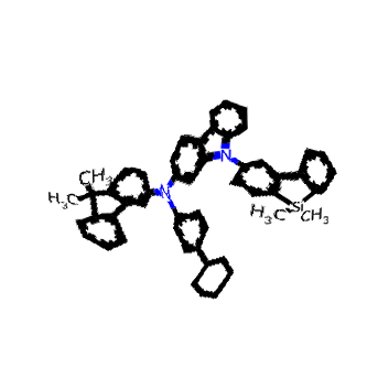 CC1(C)c2ccccc2-c2cc(N(c3ccc(C4CCCCC4)cc3)c3ccc4c5ccccc5n(-c5ccc6c(c5)-c5ccccc5[Si]6(C)C)c4c3)ccc21